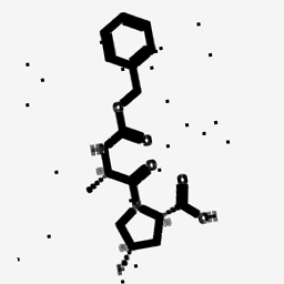 C[C@H](NC(=O)OCc1ccccc1)C(=O)N1C[C@@H](F)C[C@H]1C(=O)O